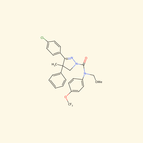 COCN(C(=O)N1CC(C)(c2ccccc2)C(c2ccc(Cl)cc2)=N1)c1ccc(OC(F)(F)F)cc1